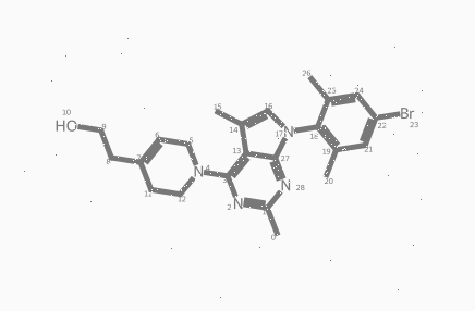 Cc1nc(N2CC=C(CCO)CC2)c2c(C)cn(-c3c(C)cc(Br)cc3C)c2n1